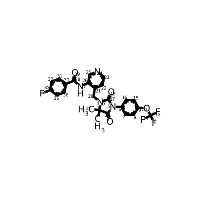 CC1(C)C(=O)N(c2ccc(OC(F)(F)F)cc2)C(=O)N1Cc1ccncc1NC(=O)c1ccc(F)cc1